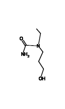 CCN(CCCO)C(N)=O